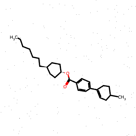 CCCCCCC[C@H]1CC[C@H](OC(=O)c2ccc(C3=CCC(C)CC3)cc2)CC1